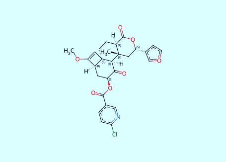 COC1=C[C@@]23CC[C@H]4C(=O)O[C@H](c5ccoc5)C[C@]4(C)[C@H]2C(=O)[C@@H](OC(=O)c2ccc(Cl)nc2)C[C@@H]13